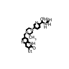 [2H]C([2H])([2H])NC(=O)c1ccc(N2CCN(Cc3cnc4cc(CC)c(=O)[nH]c4c3)[C@@H](C)C2)cn1